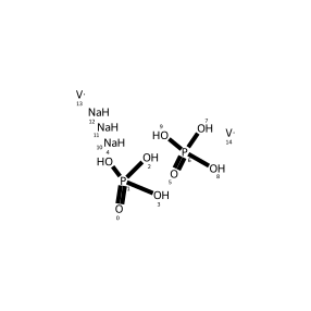 O=P(O)(O)O.O=P(O)(O)O.[NaH].[NaH].[NaH].[V].[V]